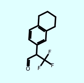 O=CC(c1ccc2c(c1)CCCC2)C(F)(F)F